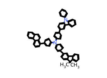 CC1(C)c2ccccc2-c2cc(-c3ccc(N(c4ccc(-c5ccc6c(c5)c5ccccc5n6-c5ccccc5)cc4)c4ccc(-c5cccc6c5ccc5ccccc56)cc4)cc3)ccc21